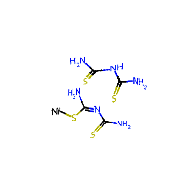 NC(=S)N=C(N)[S][Ni].NC(=S)NC(N)=S